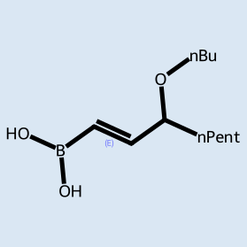 CCCCCC(/C=C/B(O)O)OCCCC